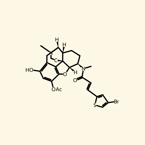 CC(=O)Oc1cc(O)c2c3c1O[C@H]1[C@H](N(C)C(=O)/C=C/c4cc(Br)cs4)CC[C@H]4[C@@H](C2)N(C)CC[C@@]341